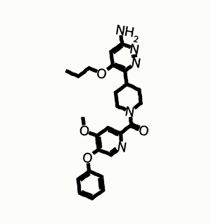 CCCOc1cc(N)nnc1C1CCN(C(=O)c2cc(OC)c(Oc3ccccc3)cn2)CC1